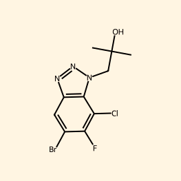 CC(C)(O)Cn1nnc2cc(Br)c(F)c(Cl)c21